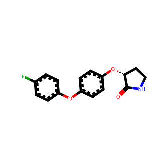 O=C1NCC[C@H]1Oc1ccc(Oc2ccc(F)cc2)cc1